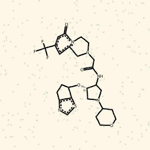 O=C(CN1CCn2c(cc(C(F)(F)F)cc2=O)C1)NC1CN(C2CCOCC2)C[C@@H]1OC1CCc2ncsc21